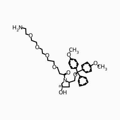 COc1ccc(C(OCC2C[C@@H](O)CN2C(=O)CCOCCOCCOCCOCCN)(c2ccccc2)c2ccc(OC)cc2)cc1